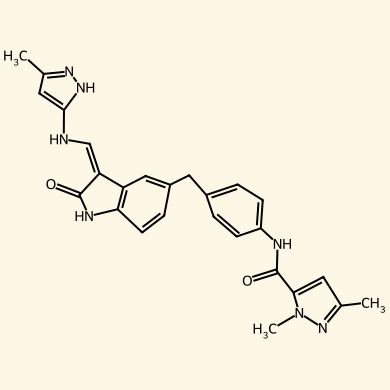 Cc1cc(N/C=C2\C(=O)Nc3ccc(Cc4ccc(NC(=O)c5cc(C)nn5C)cc4)cc32)[nH]n1